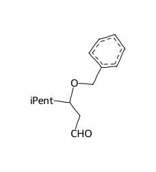 CCCC(C)C(CC=O)OCc1ccccc1